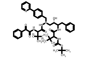 CC(C)(C)OC(=O)NC(C(=O)NC(Cc1ccccc1)[C@@H](O)CN(Cc1ccc(-c2ccccn2)cc1)NC(=O)C(NC(=O)C(=O)c1ccccc1)C(C)(C)C)C(C)(C)C